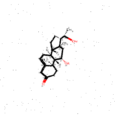 C[C@H](O)[C@H]1CC[C@H]2[C@@H]3CC=C4CC(=O)CC[C@]4(C)[C@H]3[C@@H](O)C[C@]12C